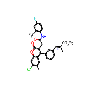 CCOC(=O)/C(C)=C/c1cccc(-c2c(CC(=O)Nc3ccc(F)cc3C(F)(F)F)c(=O)oc3cc(Cl)c(C)cc23)c1